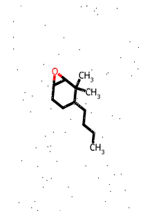 CCCC[C]1CCC2OC2C1(C)C